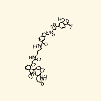 CN(C)C(=O)c1ccc(-c2cc(C(=O)NCC3CCc4ccc(C(=O)NCCCNC(=O)COc5cccc6c5C(=O)N(C5CCC(=O)NC5=O)C6=O)cc43)no2)cc1O